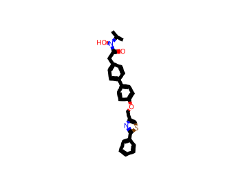 CC(C)N(O)C(=O)Cc1ccc(-c2ccc(OCc3csc(-c4ccccc4)n3)cc2)cc1